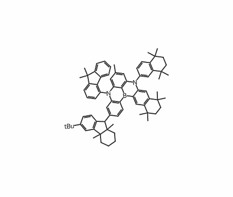 Cc1cc2c3c(c1)N(c1cccc4c1-c1ccccc1C4(C)C)c1cc(C4c5ccc(C(C)(C)C)cc5C5(C)CCCCC45C)ccc1B3c1cc3c(cc1N2c1ccc2c(c1)C(C)(C)CCC2(C)C)C(C)(C)CCC3(C)C